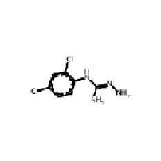 N/N=C(\N)Nc1ccc(Cl)cc1Cl